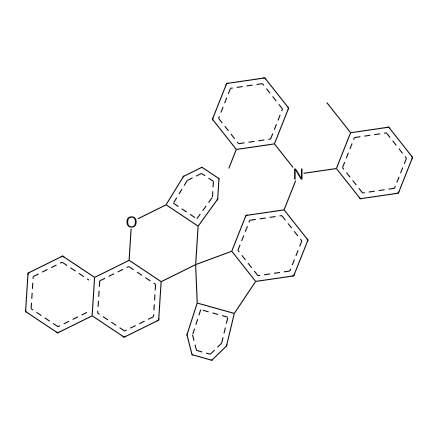 Cc1ccccc1N(c1ccc2c(c1)C1(c3ccccc3Oc3c1ccc1ccccc31)c1ccccc1-2)c1ccccc1C